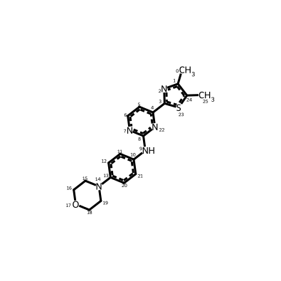 Cc1nc(-c2ccnc(Nc3ccc(N4CCOCC4)cc3)n2)sc1C